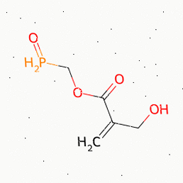 C=C(CO)C(=O)OC[PH2]=O